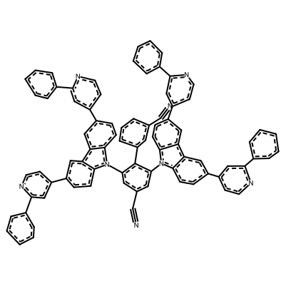 N#Cc1cccc(-c2c(-n3c4ccc(-c5ccnc(-c6ccccc6)c5)cc4c4cc(-c5ccnc(-c6ccccc6)c5)ccc43)cc(C#N)cc2-n2c3ccc(-c4ccnc(-c5ccccc5)c4)cc3c3cc(-c4ccnc(-c5ccccc5)c4)ccc32)c1